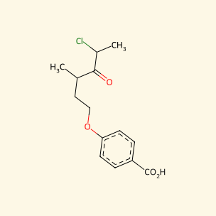 CC(Cl)C(=O)C(C)CCOc1ccc(C(=O)O)cc1